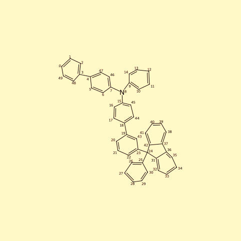 c1ccc(-c2ccc(N(c3ccccc3)c3ccc(-c4cccc(C5(c6ccccc6)c6ccccc6-c6ccccc65)c4)cc3)cc2)cc1